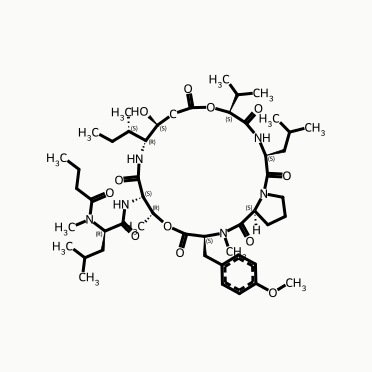 CCCC(=O)N(C)[C@H](CC(C)C)C(=O)N[C@@H]1C(=O)N[C@H]([C@@H](C)CC)[C@@H](O)CC(=O)O[C@@H](C(C)C)C(=O)N[C@@H](CC(C)C)C(=O)N2CCC[C@H]2C(=O)N(C)[C@@H](Cc2ccc(OC)cc2)C(=O)O[C@@H]1C